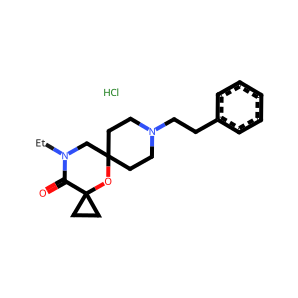 CCN1CC2(CCN(CCc3ccccc3)CC2)OC2(CC2)C1=O.Cl